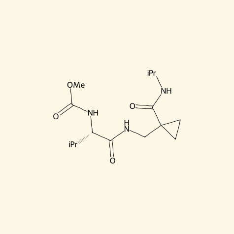 COC(=O)N[C@H](C(=O)NCC1(C(=O)NC(C)C)CC1)C(C)C